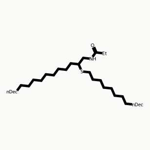 CCCCCCCCCCCCCCCCCCCC(CNC(=O)CC)SCCCCCCCCCCCCCCCCCC